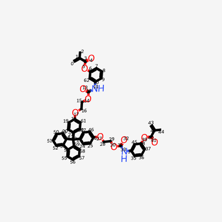 C=C(C)C(=O)Oc1cccc(NC(=O)OCCOc2ccc(C3(c4ccc(OCCOC(=O)Nc5cccc(OC(=O)C(=C)C)c5)cc4)c4ccccc4-c4ccccc43)cc2)c1